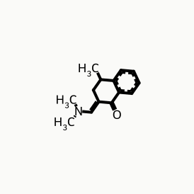 CC1CC(=CN(C)C)C(=O)c2ccccc21